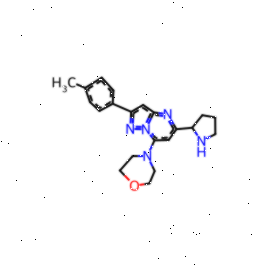 Cc1ccc(-c2cc3nc(C4CCCN4)cc(N4CCOCC4)n3n2)cc1